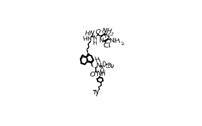 CN(C)CCCc1ccc(NC(=O)[C@H](Cc2ccc(CCCCNC(=N)NC(=O)c3nc(Cl)c(N)nc3N)c3ccccc23)NC(=O)OC(C)(C)C)cc1